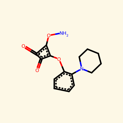 NOc1c(Oc2ccccc2N2CCCCC2)c(=O)c1=O